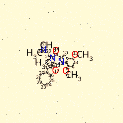 COc1ccc(OC)c2c1cc1n2CC(C)(C(=O)CC2CCCCCCC2)N(CCN(C)C)C1=O